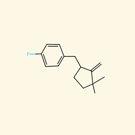 C=C1C(Cc2ccc(F)cc2)CCC1(C)C